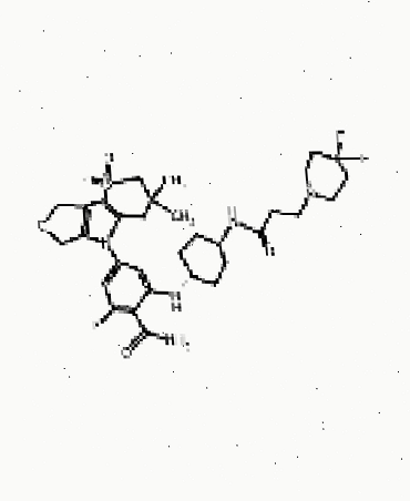 CC1(C)Cc2c(c3c(n2-c2cc(F)c(C(N)=O)c(N[C@H]4CC[C@H](NC(=O)CCN5CCC(F)(F)CC5)CC4)c2)COC3)S(=O)(=O)C1